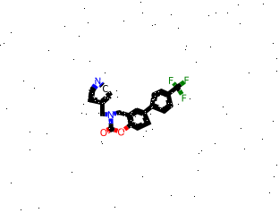 O=C1Oc2ccc(-c3ccc(C(F)(F)F)cc3)cc2CN1Cc1ccncc1